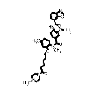 COc1cc(C(=O)N(C)c2ccc(C)cc2OCCCCCC(=O)N2CCN(C)CC2)ccc1NC(=O)c1cccc2ncoc12